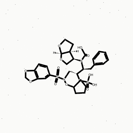 O=C(O)N([C@H]1CO[C@H]2OCC[C@H]21)[C@@H](Cc1ccccc1)[C@@H](CN(OC1CCCC1)S(=O)(=O)c1ccc2c(c1)OCO2)OP(=O)(O)O